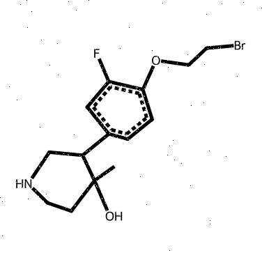 CC1(O)CCNCC1c1ccc(OCCBr)c(F)c1